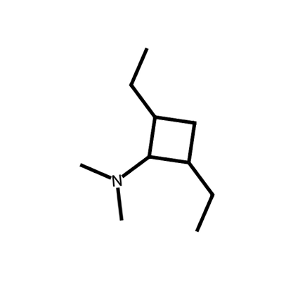 CCC1CC(CC)C1N(C)C